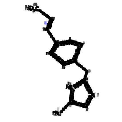 CC(C)(C)c1cnc(Cc2ccc(/C=C/C(=O)O)cc2)[nH]1